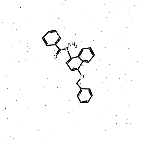 NN(C(=O)c1ccccc1)c1ccc(OCc2ccccc2)c2ccccc12